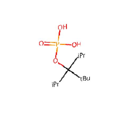 CC(C)C(OP(=O)(O)O)(C(C)C)C(C)(C)C